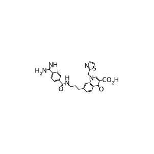 N=C(N)c1ccc(C(=O)NCCCc2ccc3c(=O)c(C(=O)O)cn(Cc4nccs4)c3c2)cc1